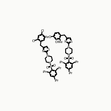 CC(C)c1cc(C(C)C)c(S(=O)(=O)N2CCN(c3nc(Cc4ccc(Cl)cc4Cl)cs3)CC2)c(C(C)C)c1.COc1ccc(Cc2csc(N3CCN(S(=O)(=O)c4c(C(C)C)cc(C(C)C)cc4C(C)C)CC3)n2)c(OC)c1